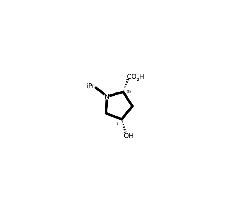 CC(C)N1C[C@@H](O)C[C@H]1C(=O)O